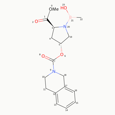 COC(=O)[C@@H]1C[C@@H](OC(=O)N2CCc3ccccc3C2)CN1B(C)O